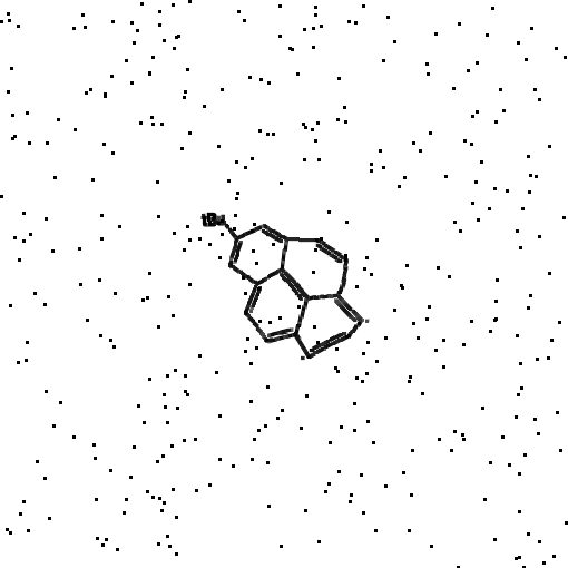 CC(C)(C)c1cc2ccc3[c]c[c]c4ccc(c1)c2c34